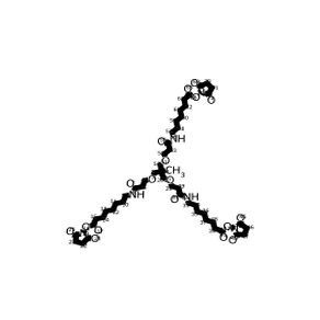 CC(COCCC(=O)NCCCCCCCC(=O)ON1C(=O)CCC1=O)(COCCC(=O)NCCCCCCCC(=O)ON1C(=O)CCC1=O)COCCC(=O)NCCCCCCCC(=O)ON1C(=O)CCC1=O